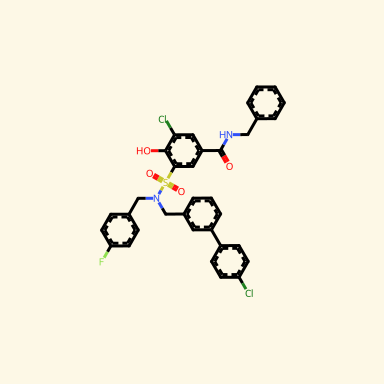 O=C(NCc1ccccc1)c1cc(Cl)c(O)c(S(=O)(=O)N(Cc2ccc(F)cc2)Cc2cccc(-c3ccc(Cl)cc3)c2)c1